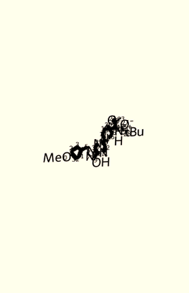 COc1ccc(Cn2nc(O)c3ncc(N4CCC5(CC4)CO[C@@H](C)[C@H]5N[S+]([O-])C(C)(C)C)nc32)cc1